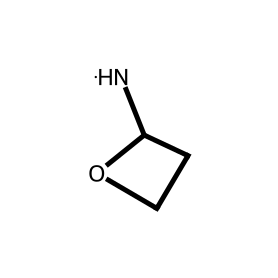 [NH]C1CCO1